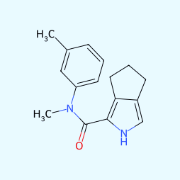 Cc1cccc(N(C)C(=O)c2[nH]cc3c2CCC3)c1